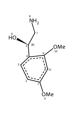 COc1ccc([C@@H](O)CN)c(OC)c1